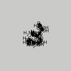 C[n+]1cn([C@@H]2O[C@H](COP(=O)(O)OP(=O)(O)OP(=O)(O)OC[C@H]3O[C@@H](n4cnc5c(N)ncnc54)C(C(F)(F)F)C3OP(=O)(O)OC[C@H]3O[C@@H](n4ccc(=O)[nH]c4=O)C(O)C3O)C(O)C2O)c2nc(N)[nH]c(=O)c21